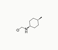 C[C@H]1CC[C@@H](NC[O])CC1